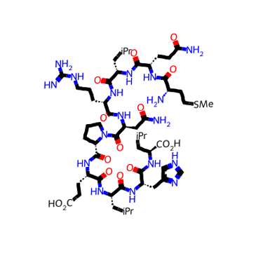 CSCC[C@H](N)C(=O)N[C@@H](CCC(N)=O)C(=O)N[C@@H](CC(C)C)C(=O)N[C@@H](CCCNC(=N)N)C(=O)N[C@@H](CC(N)=O)C(=O)N1CCC[C@H]1C(=O)N[C@@H](CCC(=O)O)C(=O)N[C@@H](CC(C)C)C(=O)N[C@@H](Cc1c[nH]cn1)C(=O)N[C@@H](CC(C)C)C(=O)O